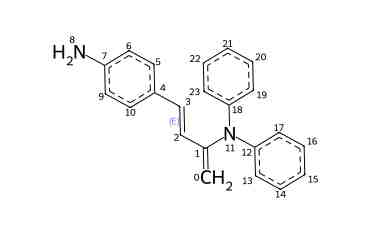 C=C(/C=C/c1ccc(N)cc1)N(c1ccccc1)c1ccccc1